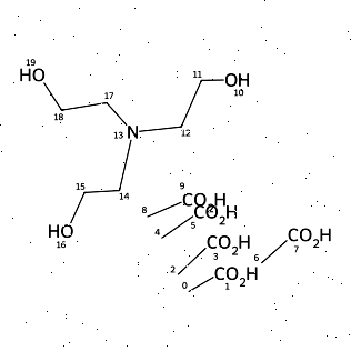 CC(=O)O.CC(=O)O.CC(=O)O.CC(=O)O.CC(=O)O.OCCN(CCO)CCO